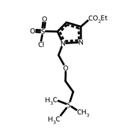 CCOC(=O)c1cc(S(=O)(=O)Cl)n(COCCS(C)(C)C)n1